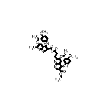 CCOC(=O)c1cnc2nc(CCC(=O)OC(=O)c3cnc4nc(C)c(OCC)cc4c3Nc3ccc(OC)cc3)c(OCC)cc2c1Nc1ccc(OC)cc1